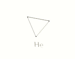 C1CC1.[He]